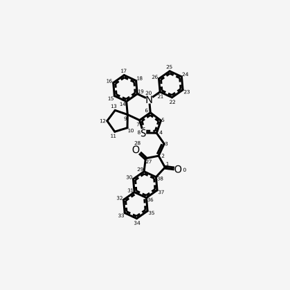 O=C1C(=Cc2cc3c(s2)C2(CCCC2)c2ccccc2N3c2ccccc2)C(=O)c2cc3ccccc3cc21